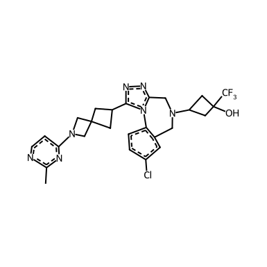 Cc1nccc(N2CC3(CC(c4nnc5n4-c4ccc(Cl)cc4CN(C4CC(O)(C(F)(F)F)C4)C5)C3)C2)n1